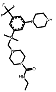 CCNC(=O)N1CCN(C[Si](C)(C)c2cc(N3CCNCC3)cc(C(F)(F)F)c2)CC1